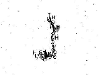 CN[C@@H](C)C(=O)N[C@H](C(=O)N1CCC[C@H]1c1nc(C(=O)c2cccc(OCCOCCOCCNCc3ccc(-n4cc(NC(=O)c5coc(-c6ccnc(NCC7CC7)c6)n5)c(C(F)F)n4)cc3)c2)cs1)C1CCCCC1